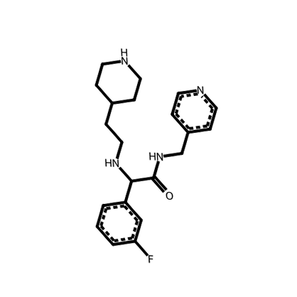 O=C(NCc1ccncc1)C(NCCC1CCNCC1)c1cccc(F)c1